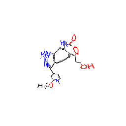 COc1cc(-c2n[nH]c3cc4c(cc23)C(CCO)OC(=O)N4)ccn1